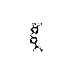 CC(C)OC(=O)c1ccc(Oc2ccc(C#N)c(C#N)c2)cc1